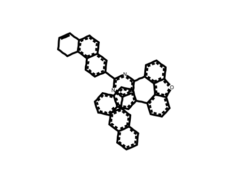 C1=Cc2ccc3cc(-c4nc(-c5ccc6ccccc6c5)nc(-c5cccc6oc7cccc(-c8ccc9ccccc9c8)c7c56)n4)ccc3c2CC1